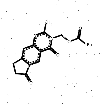 Cc1nc2cc3c(cc2c(=O)n1COC(=O)C(C)(C)C)C(=O)CC3